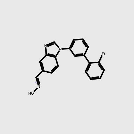 CCc1ccccc1-c1cccc(-n2cnc3cc(/C=N/O)ccc32)c1